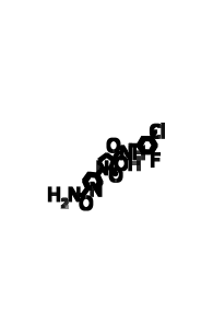 NC(=O)c1ccc(N2CCC(O)(C(=O)NCc3cc(F)cc(Cl)c3)C2=O)cn1